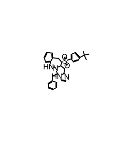 CC(C)(C)c1ccc(S(=O)(=O)C2Cc3ccccc3NN(CCc3ccccc3)C2Cc2ncc[nH]2)cc1